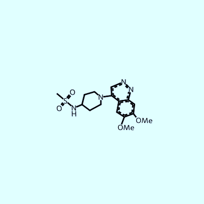 COc1cc2nncc(N3CCC(NS(C)(=O)=O)CC3)c2cc1OC